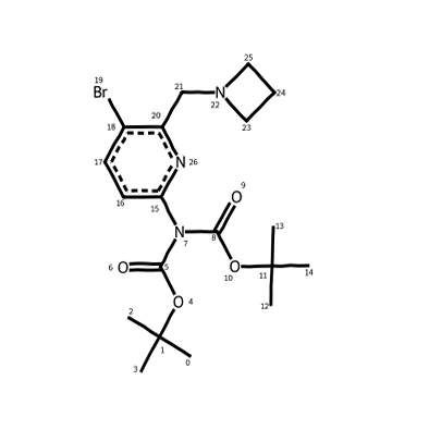 CC(C)(C)OC(=O)N(C(=O)OC(C)(C)C)c1ccc(Br)c(CN2CCC2)n1